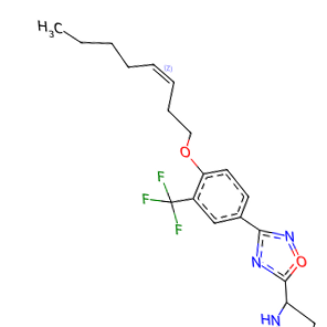 CCCC/C=C\CCOc1ccc(-c2noc(C3CCCN3)n2)cc1C(F)(F)F